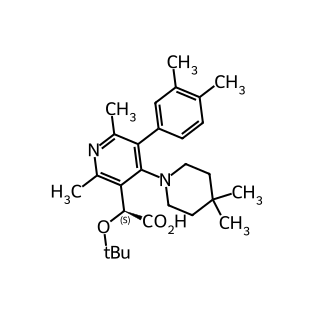 Cc1ccc(-c2c(C)nc(C)c([C@H](OC(C)(C)C)C(=O)O)c2N2CCC(C)(C)CC2)cc1C